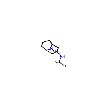 CCC(CC)NC1CC2CCCC(C1)N2C